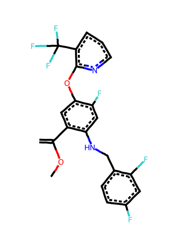 C=C(OC)c1cc(Oc2ncccc2C(F)(F)F)c(F)cc1NCc1ccc(F)cc1F